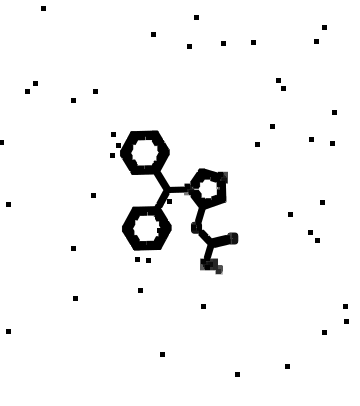 NC(=O)Oc1cncn1C(c1ccccc1)c1ccccc1